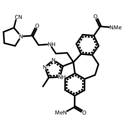 CNC(=O)c1ccc2c(c1)CCc1cc(C(=O)NC)ccc1C2(CCNCC(=O)N1CCCC1C#N)c1nnc(C)[nH]1